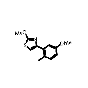 COc1ccc(C)c(-c2csc(OC)n2)c1